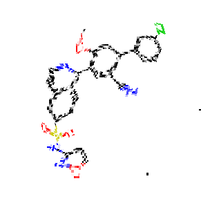 COc1cc(-c2cccc(Cl)c2)c(C#N)cc1-c1nccc2cc(S(=O)(=O)Nc3ccon3)ccc12